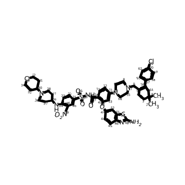 CC1(C)CCC(CN2CCN(c3ccc(C(=O)NS(=O)(=O)c4ccc(NC5CCN(C6CCOCC6)CC5)c([N+](=O)[O-])c4)c(Oc4ccc5nc(N)sc5c4)c3)CC2)=C(c2ccc(Cl)cc2)C1